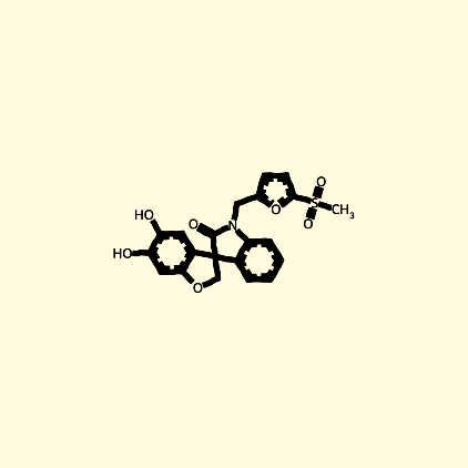 CS(=O)(=O)c1ccc(CN2C(=O)C3(COc4cc(O)c(O)cc43)c3ccccc32)o1